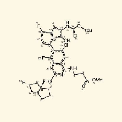 COC(=O)CCNc1nc(OC[C@@]23CCCN2C[C@H](F)C3)nc2c(F)c(-c3ccc(F)c4sc(NC(=O)OC(C)(C)C)c(C#N)c34)c(Cl)cc12